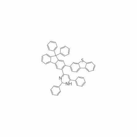 C1=C(c2ccccc2)NC(c2ccccc2)N=C1c1cc2c(cc1-c1ccc3c(c1)sc1ccccc13)C(c1ccccc1)(c1ccccc1)c1ccccc1-2